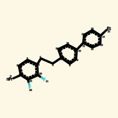 CCCc1ccc(CCc2ccc(-c3ccc(CC)cc3)cc2)c(F)c1F